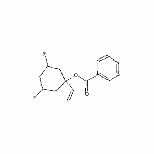 C=CC1(OC(=O)c2ccccc2)CC(F)CC(F)C1